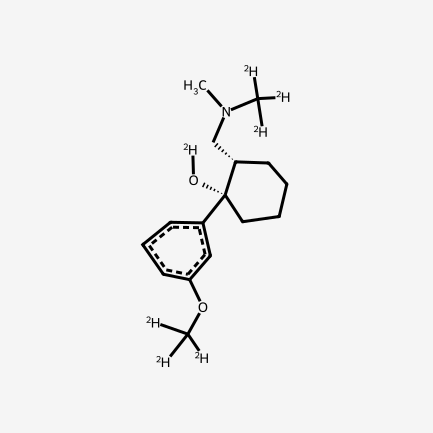 [2H]O[C@@]1(c2cccc(OC([2H])([2H])[2H])c2)CCCC[C@H]1CN(C)C([2H])([2H])[2H]